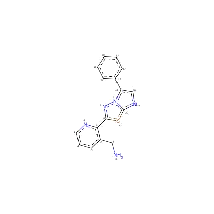 NCc1cccnc1-c1nn2c(-c3ccccc3)cnc2s1